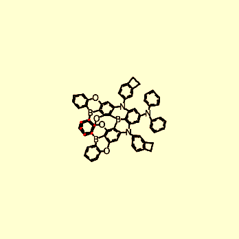 c1ccc(N(c2ccccc2)c2cc3c4c(c2)N(c2ccc5c(c2)CC5)c2cc5c6c(c2B4c2c(cc4c7c2Oc2ccccc2B7c2ccccc2O4)N3c2ccc3c(c2)CC3)Oc2ccccc2B6c2ccccc2O5)cc1